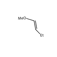 [CH2]CC=CO[CH2]